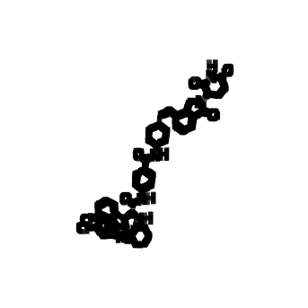 O=C1CCC(N2Cc3c(/C=C\[C@H]4CC[C@H](NC(=O)c5ccc(NC(=O)[C@@H]6NC7(CCCCC7)[C@@]7(C(=O)Nc8cc(Cl)ccc87)[C@H]6c6cccc(Cl)c6F)cc5)CC4)cccc3C2=O)C(=O)N1